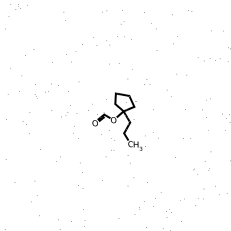 CCCC1(O[C]=O)CCCC1